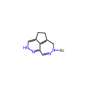 CC(=O)N1CC2=C3C(=CNN=C3C=N1)CC2